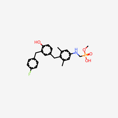 COP(=O)(O)CNc1cc(C)c(Cc2ccc(O)c(Cc3ccc(F)cc3)c2)c(C)c1